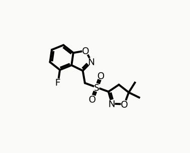 CC1(C)CC(S(=O)(=O)Cc2noc3cccc(F)c23)=NO1